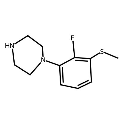 CSc1cccc(N2CCNCC2)c1F